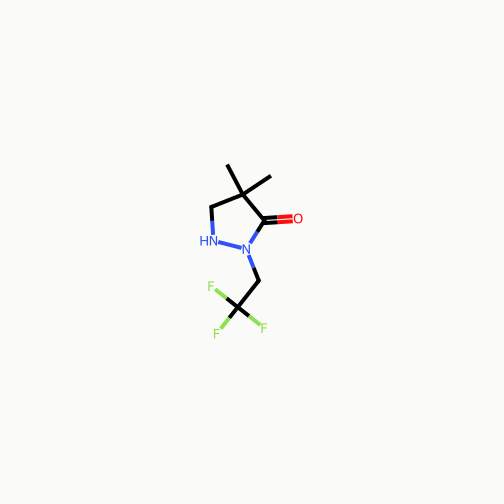 CC1(C)CNN(CC(F)(F)F)C1=O